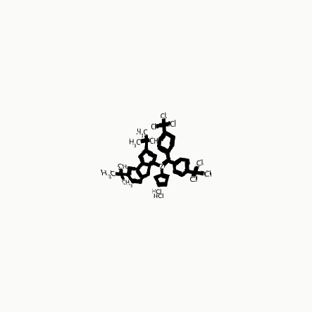 CC(C)(C)c1ccc2c(c1)-c1cc(C(C)(C)C)c[c]([Zr]([C]3=CC=CC3)=[C](c3ccc(C(Cl)(Cl)Cl)cc3)c3ccc(C(Cl)(Cl)Cl)cc3)c1C2.Cl.Cl